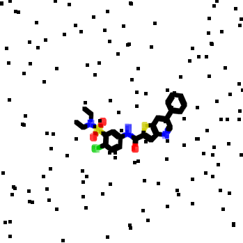 CCN(CC)S(=O)(=O)c1cc(NC(=O)c2cc3ncc(-c4ccccc4)cc3s2)ccc1Cl